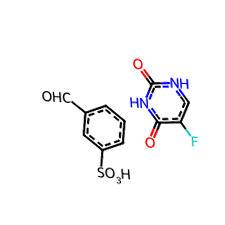 O=Cc1cccc(S(=O)(=O)O)c1.O=c1[nH]cc(F)c(=O)[nH]1